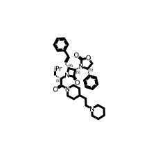 CC(C)C[C@@H](C(=O)N1CCC(CCN2CCCCC2)CC1)N1C(=O)[C@@H](N2C(=O)OC[C@@H]2c2ccccc2)[C@H]1C=Cc1ccccc1